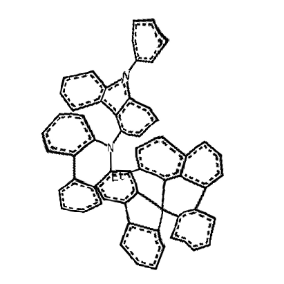 CCc1ccc2cccc3c2c1C1(c2ccccc2-c2ccc(N(c4ccccc4-c4ccccc4)c4cccc5c4c4ccccc4n5-c4ccccc4)cc21)c1ccccc1-3